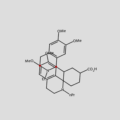 CCCN1CCc2cc(OC)c(OC)cc2C12CCC(C(=O)O)CC2C1c2cc(OC)c(OC)cc2CCN1CC